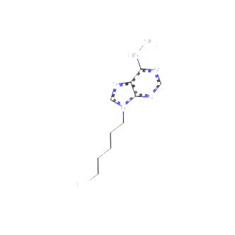 NNc1ncnc2c1ncn2CCCCCO